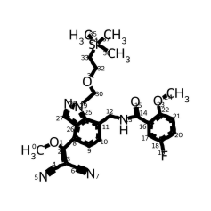 COC(=C(C#N)C#N)c1ccc(CNC(=O)c2cc(F)ccc2OC)c2c1cnn2COCC[Si](C)(C)C